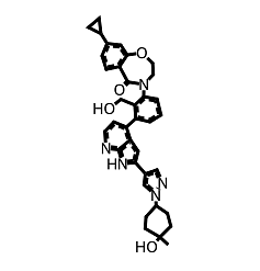 CC1(O)CCC(n2cc(-c3cc4c(-c5cccc(N6CCOc7cc(C8CC8)ccc7C6=O)c5CO)ccnc4[nH]3)cn2)CC1